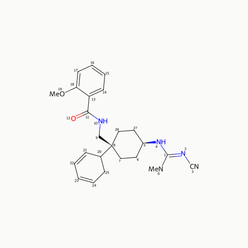 CN/C(=N\C#N)N[C@H]1CC[C@](CNC(=O)c2ccccc2OC)(C2C=CC=CC2)CC1